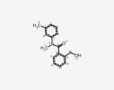 Cc1cccc(N(C)C(=O)c2ccccc2CO)c1